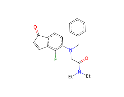 CCN(CC)C(=O)CN(Cc1ccccc1)c1ccc2c(c1F)C=CC2=O